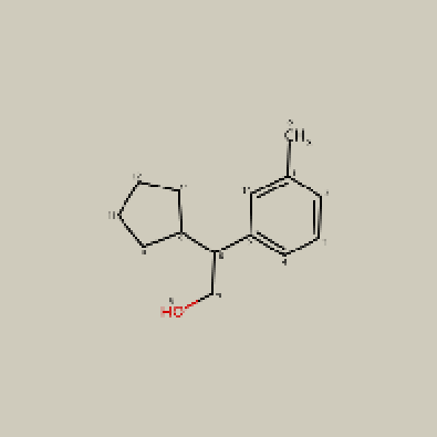 Cc1cccc(C(CO)C2CCCC2)c1